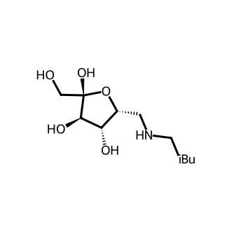 CCC(C)CNC[C@H]1O[C@@](O)(CO)[C@H](O)[C@H]1O